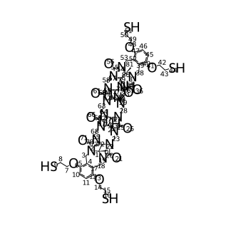 C[C@]12N3Cc4c(OCCS)ccc(OCCS)c4CN1C(=O)N1CN4C(=O)N5CN6C(=O)N7CN8C(=O)N9Cc%10c(OCCS)ccc(OCCS)c%10CN%10C(=O)N%11CN%12C(=O)N(CN%13C(=O)N(CN(C3=O)[C@]12C)[C@@H]4[C@H]%135)[C@@H]6[C@]%127N[C@]%118[C@@]9%10C